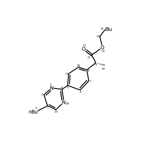 CCCCc1cnc(-c2ccc([C@@H](C)C(=O)OCC(C)CC)cc2)nc1